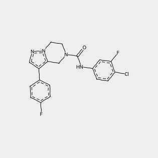 O=C(Nc1ccc(Cl)c(F)c1)N1CCn2ncc(-c3ccc(F)cc3)c2C1